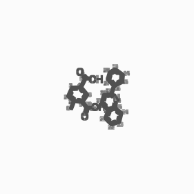 Cc1ccc(C(=O)O)cc1C(=O)O.c1ccc(-c2ccc3ccccc3n2)cc1